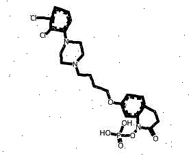 O=C1CCc2ccc(OCCCCN3CCN(c4cccc(Cl)c4Cl)CC3)cc2N1OP(=O)(O)O